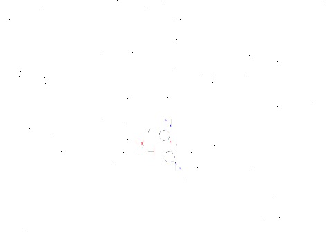 CCCCN(CCCC)c1ccc2c(c1)Oc1cc(N(CCCC)CCCC)ccc1C2CC(C/C=C/CCCCCCCCCCC(C)C)C(=O)O